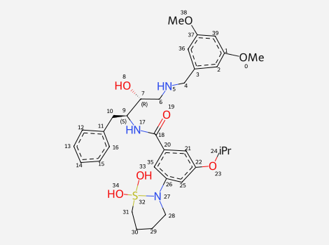 COc1cc(CNC[C@@H](O)[C@H](Cc2ccccc2)NC(=O)c2cc(OC(C)C)cc(N3CCCCS3(O)O)c2)cc(OC)c1